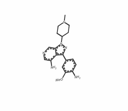 COc1cc(-c2nn(C3CCN(C)CC3)c3cncc(N)c23)ccc1N